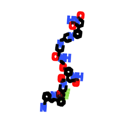 N#Cc1cccc2[nH]c(-c3ccccc3OC3(C(F)(F)F)CCN(C(=O)[C@H]4CC(=O)Nc5ccc(OCCNC(=O)C6CCN(CC7CCN(c8cccc(C9CCC(=O)NC9=O)c8)CC7)CC6)cc54)CC3)cc12